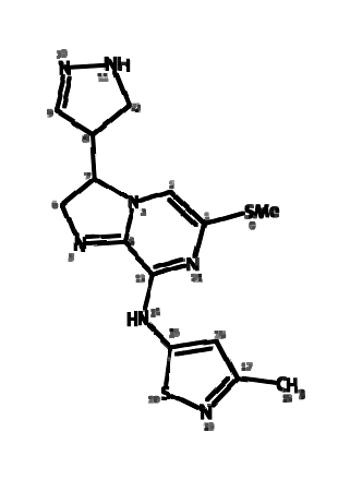 CSC1=CN2C(=NCC2C2C=NNC2)C(Nc2cc(C)ns2)=N1